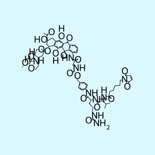 CO[C@H]1OCCN2[C@@H]1O[C@@H]1CO[C@@H](O[C@H]3C[C@](O)(C(C)=O)Cc4c(O)c5c(c(O)c43)C(=O)c3c(NC(=O)CNC(=O)OCc4ccc(NC(=O)[C@H](CCCNC(N)=O)NC(=O)[C@@H](NC(=O)CCCCCN6C(=O)C=CC6=O)C(C)C)cc4)cccc3C5=O)C[C@@H]12